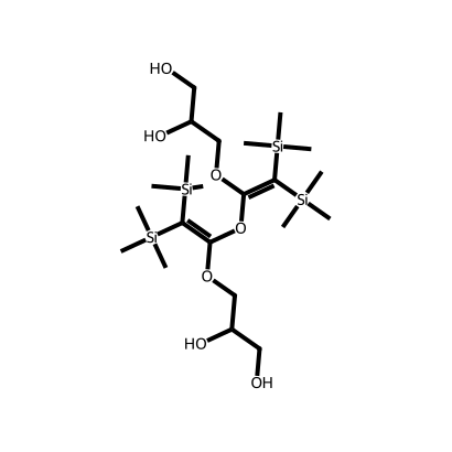 C[Si](C)(C)C(=C(OCC(O)CO)OC(OCC(O)CO)=C([Si](C)(C)C)[Si](C)(C)C)[Si](C)(C)C